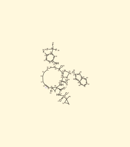 CC1(S(=O)(=O)NC(=O)[C@@]23C[C@H]2/C=C\CCCCC[C@H](Nc2ccc(F)c(C(F)(F)F)c2)C(=O)N2C[C@H](Oc4nc5ccccc5s4)C[C@H]2C(=O)N3)CC1